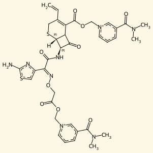 C=CC1=C(C(=O)OC[n+]2cccc(C(=O)N(C)C)c2)C2C(=O)[C@@H](NC(=O)C(=NOCC(=O)OC[n+]3cccc(C(=O)N(C)C)c3)c3csc(N)n3)[C@@H]2SC1